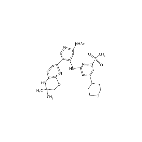 CC(=O)Nc1cc(Nc2cc(C3CCOCC3)cc(S(C)(=O)=O)n2)c(-c2ccc3c(n2)OCC(C)(C)N3)cn1